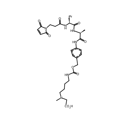 CC(C)[C@H](NC(=O)CCN1C(=O)C=CC1=O)C(=O)N[C@@H](C)C(=O)Nc1ccc(COC(=O)NCCCCN(C)CC(=O)O)cc1